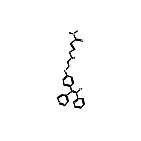 CCC(=C(c1ccncc1)c1ccc(OCCNCC=CC(=O)N(C)C)cc1)c1ccccc1